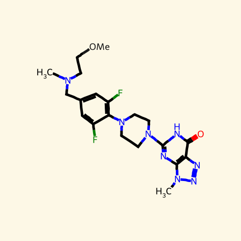 COCCN(C)Cc1cc(F)c(N2CCN(c3nc4c(nnn4C)c(=O)[nH]3)CC2)c(F)c1